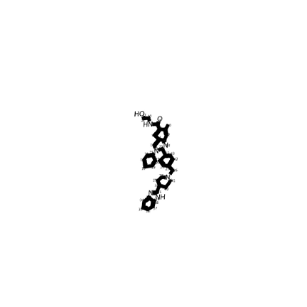 Cc1cc2c(cc1C(=O)NCCO)=CN(c1ccccc1)C(c1ccc(CN3CCC(c4nc5ccccc5[nH]4)CC3)cc1)N=2